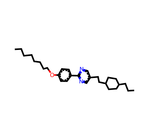 CCCCCCCCOc1ccc(-c2ncc(CCC3CCC(CCC)CC3)cn2)cc1